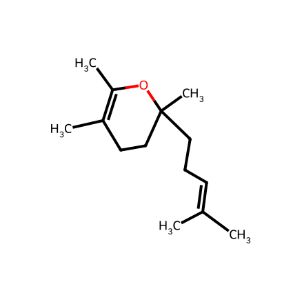 CC(C)=CCCC1(C)CCC(C)=C(C)O1